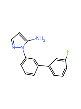 Nc1ccnn1-c1cccc(-c2cccc(F)c2)c1